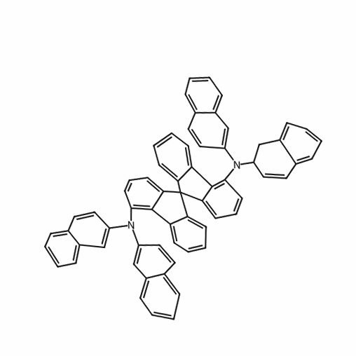 C1=CC(N(c2ccc3ccccc3c2)c2cccc3c2-c2ccccc2C32c3ccccc3-c3c(N(c4ccc5ccccc5c4)c4ccc5ccccc5c4)cccc32)Cc2ccccc21